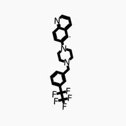 FC(F)(F)C(F)(F)c1cccc(CN2CCN(c3[c]c4cccnc4cc3)CC2)c1